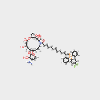 CC[C@H]1OC(=O)[C@H](C)[C@@H](O)[C@H](C)[C@@H](O[C@@H]2O[C@H](C)C[C@H](N(C)C)[C@H]2O)[C@](C)(O)C[C@@H](C)CN(C(=O)CCCCCCCCCCCC[PH](c2ccccc2)(c2ccccc2)C2CCC(F)(F)CC2)[C@H](C)[C@@H](O)[C@]1(C)O